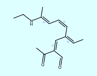 C/C=C(\C=C/C=C(\C)NCC)/C=C(\C=O)C(C)=O